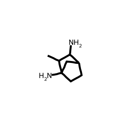 CC1C(N)C2CCC1(N)C2